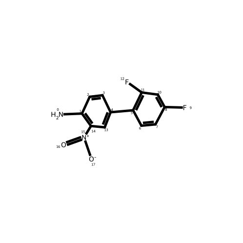 Nc1ccc(-c2ccc(F)cc2F)cc1[N+](=O)[O-]